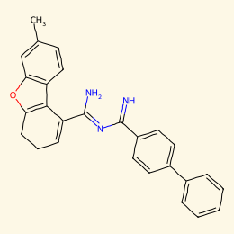 Cc1ccc2c3c(oc2c1)CCC=C3/C(N)=N/C(=N)c1ccc(-c2ccccc2)cc1